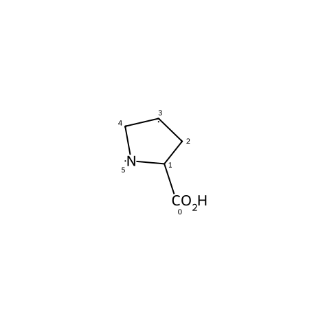 O=C(O)C1C[CH]C[N]1